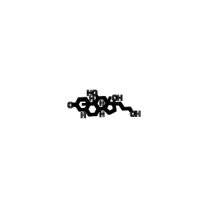 C[C@]12C=CC(=O)C[C@@H]1CC[C@@H]1[C@@H]2[C@@H](O)C[C@@]2(C)[C@H]1CC[C@@]2(O)CCCO